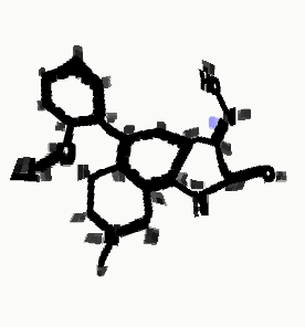 CCOc1ccccc1-c1cc2c(c3c1CCN(C)C3)NC(=O)/C2=N/O